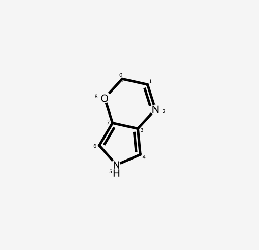 [CH]1C=Nc2c[nH]cc2O1